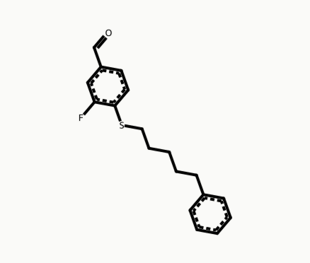 O=Cc1ccc(SCCCCCc2ccccc2)c(F)c1